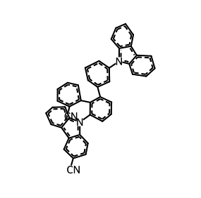 N#Cc1ccc2c(c1)c1ccccc1n2-c1cccc(-c2cccc(-n3c4ccccc4c4ccccc43)c2)c1-c1ccccc1C#N